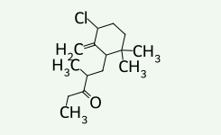 C=C1C(Cl)CCC(C)(C)C1CC(C)C(=O)CC